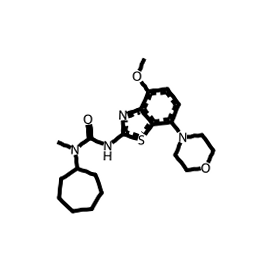 COc1ccc(N2CCOCC2)c2sc(NC(=O)N(C)C3CCCCCC3)nc12